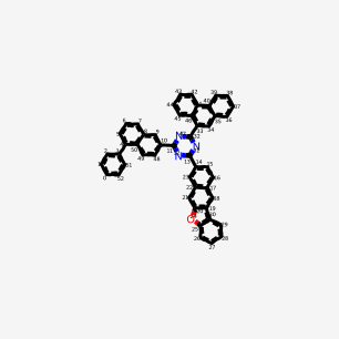 c1ccc(-c2cccc3cc(-c4nc(-c5ccc6cc7c(cc6c5)oc5ccccc57)nc(-c5cc6ccccc6c6ccccc56)n4)ccc23)cc1